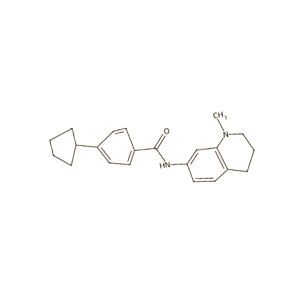 CN1CCCc2ccc(NC(=O)c3ccc(C4CCCC4)cc3)cc21